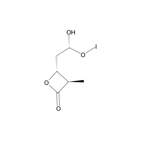 C[C@H]1C(=O)O[C@@H]1C[C@H](O)OI